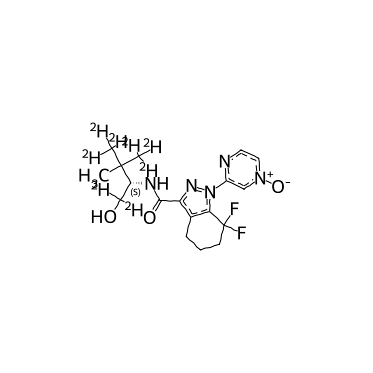 [2H]C([2H])(O)[C@@H](NC(=O)c1nn(-c2c[n+]([O-])ccn2)c2c1CCCC2(F)F)C(C)(C([2H])([2H])[2H])C([2H])([2H])[2H]